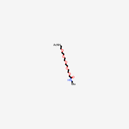 CC(=O)NCCOCCOCCOCCOCCOCC(=O)NCC(C)(C)C